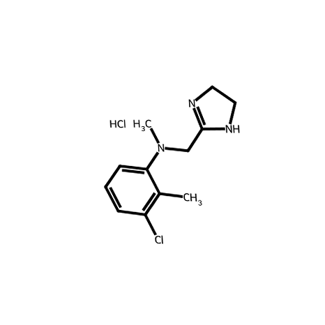 Cc1c(Cl)cccc1N(C)CC1=NCCN1.Cl